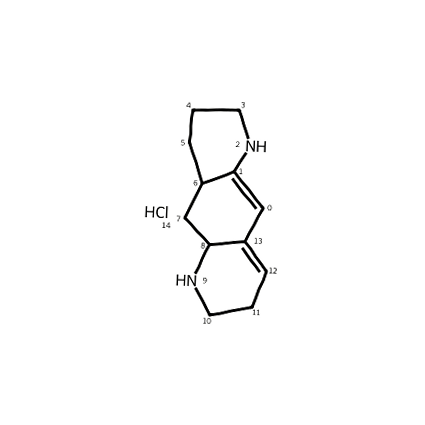 C1=C2NCCCC2CC2NCCC=C12.Cl